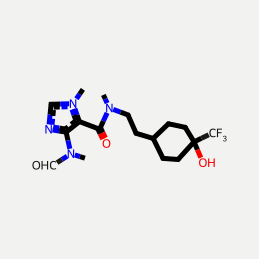 CN(CCC1CCC(O)(C(F)(F)F)CC1)C(=O)c1c(N(C)C=O)ncn1C